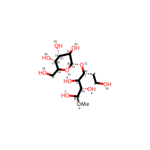 CO[C@@H](O)[C@@H](O)C(O)[C@@H](CCO)O[C@@H]1OC(CO)[C@H](O)[C@H](O)C1O